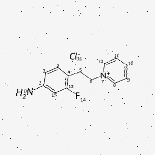 Nc1ccc(CC[n+]2ccccc2)c(F)c1.[Cl-]